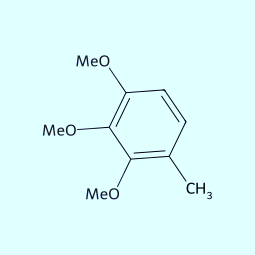 COc1ccc(C)c(OC)c1OC